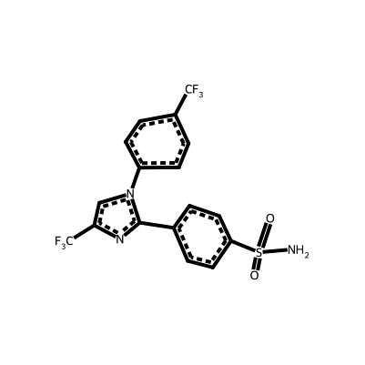 NS(=O)(=O)c1ccc(-c2nc(C(F)(F)F)cn2-c2ccc(C(F)(F)F)cc2)cc1